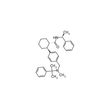 C[C@H](NC(=O)[C@H]1CCCC[C@@H]1c1ccc(CN(C)C(C)(C)c2ccccc2)cc1)c1ccccc1